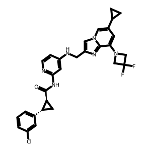 O=C(Nc1cc(NCc2cn3cc(C4CC4)cc(N4CC(F)(F)C4)c3n2)ccn1)[C@H]1C[C@@H]1c1cccc(Cl)c1